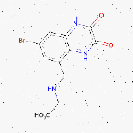 O=C(O)CNCc1cc(Br)cc2[nH]c(=O)c(=O)[nH]c12